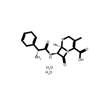 CC1=C(C(=O)O)N2C(=O)[C@@H](NC(=O)[C@H](N)C3=CCC=CC3)[C@H]2SC1.O.O